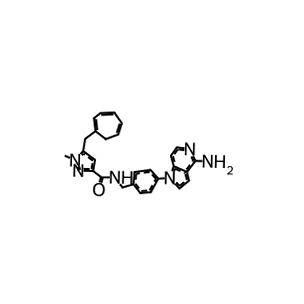 Cn1nc(C(=O)NCc2ccc(-n3ccc4c(N)nccc43)cc2)cc1CC1=CC=CC=CC1